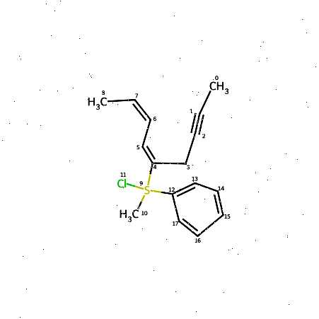 CC#CC/C(=C\C=C/C)S(C)(Cl)c1ccccc1